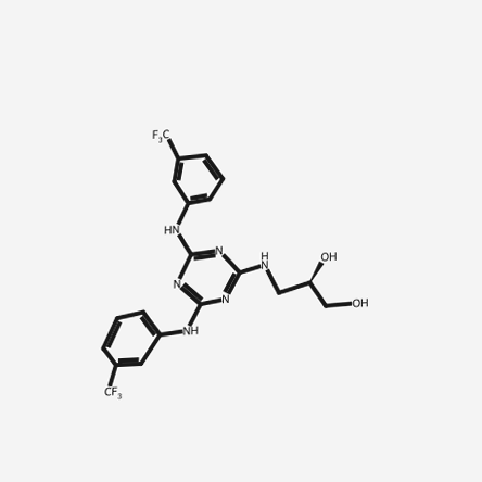 OC[C@H](O)CNc1nc(Nc2cccc(C(F)(F)F)c2)nc(Nc2cccc(C(F)(F)F)c2)n1